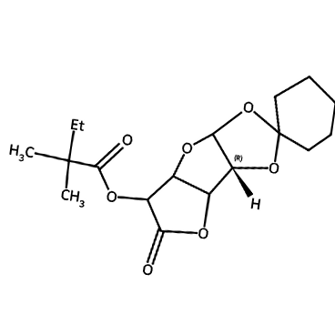 CCC(C)(C)C(=O)OC1C(=O)OC2C1OC1OC3(CCCCC3)O[C@@H]12